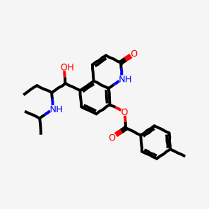 CCC(NC(C)C)C(O)c1ccc(OC(=O)c2ccc(C)cc2)c2[nH]c(=O)ccc12